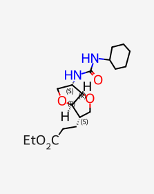 CCOC(=O)CC[C@H]1CO[C@H]2[C@@H]1OC[C@@H]2NC(=O)NC1CCCCC1